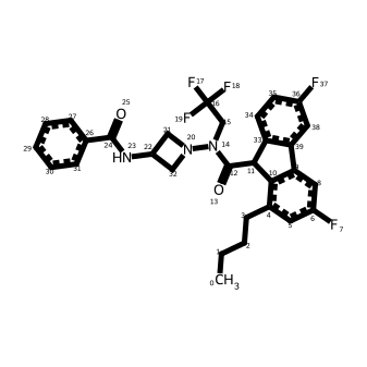 CCCCc1cc(F)cc2c1C(C(=O)N(CC(F)(F)F)N1CC(NC(=O)c3ccccc3)C1)c1ccc(F)cc1-2